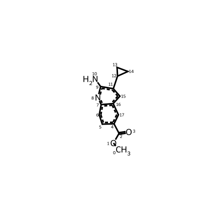 COC(=O)c1ccc2nc(N)c(C3CC3)cc2c1